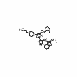 CCCCc1c(-c2nc(O[C@@H](C)[C@@H]3CCCN3C)cc(N3CCN(CCO)CC3)n2)noc1[C@H]1CCCc2sc(N)c(C#N)c21